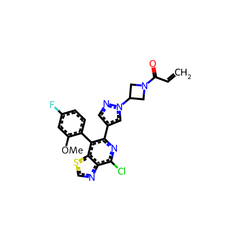 C=CC(=O)N1CC(n2cc(-c3nc(Cl)c4ncsc4c3-c3ccc(F)cc3OC)cn2)C1